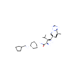 Cc1cc(-c2[nH]nc(C(=O)N[C@H]3CC[C@H](NCC4CCCC4)CC3)c2C(C)C)cn2ncnc12